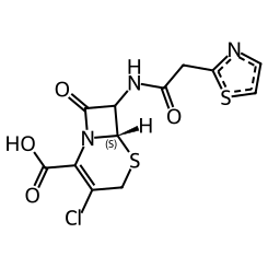 O=C(Cc1nccs1)NC1C(=O)N2C(C(=O)O)=C(Cl)CS[C@@H]12